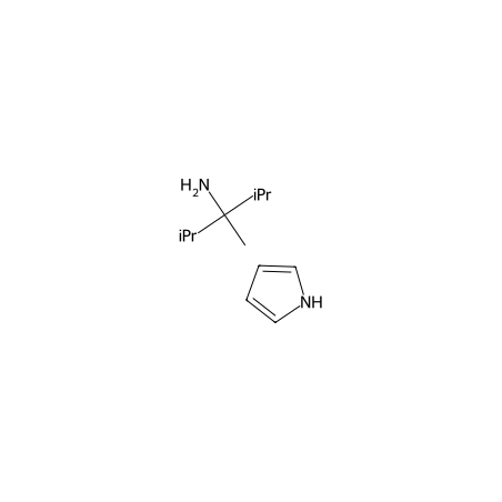 CC(C)C(C)(N)C(C)C.c1cc[nH]c1